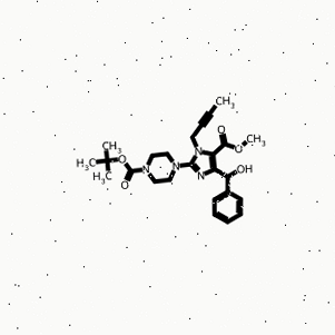 CC#CCn1c(N2CCN(C(=O)OC(C)(C)C)CC2)nc(C(O)c2ccccc2)c1C(=O)OC